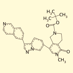 Cn1cc(-c2ccc3c(-c4ccc5cnccc5c4)cnn3c2)c2c(c1=O)CCN(C(=O)OC(C)(C)C)C2